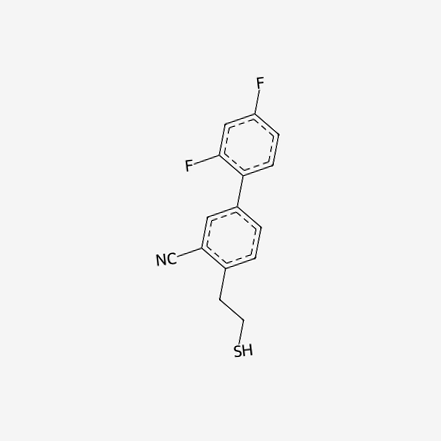 N#Cc1cc(-c2ccc(F)cc2F)ccc1CCS